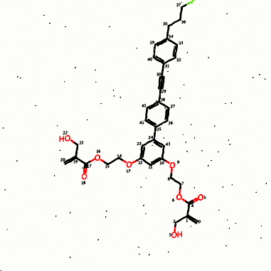 C=C(CO)C(=O)OCCOc1cc(OCCOC(=O)C(=C)CO)cc(-c2ccc(C#Cc3ccc(CCCF)cc3)cc2)c1